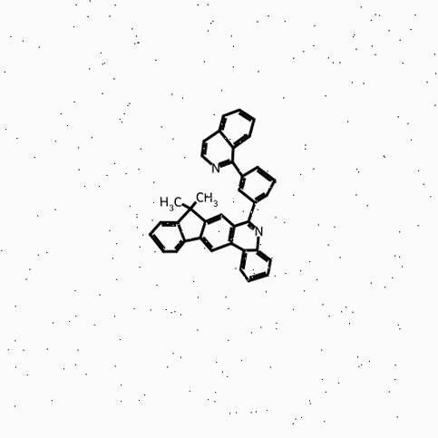 CC1(C)c2ccccc2-c2cc3c(cc21)c(-c1cccc(-c2nccc4ccccc24)c1)nc1ccccc13